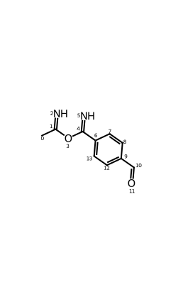 CC(=N)OC(=N)c1ccc(C=O)cc1